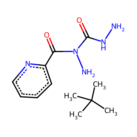 CC(C)(C)C.NNC(=O)N(N)C(=O)c1ccccn1